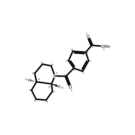 COC(=O)c1ccc(C(=O)N2CCC[C@@H]3CCCC[C@H]32)cc1